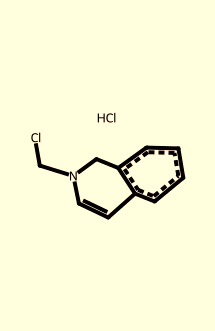 Cl.ClCN1C=Cc2ccccc2C1